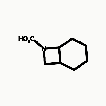 O=C(O)N1CC2CCCCC21